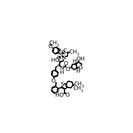 COc1ccc(S(=O)(=O)N(CC(C)C)C[C@@H](O)[C@H](Cc2ccc(OCc3ccccc3-c3sc4c(c3C(=O)O)CC(C)(C)CC4)cc2)NC(=O)O[C@@H]2C[C@@H]3[C@@H](O)CO[C@@H]3C2)cc1